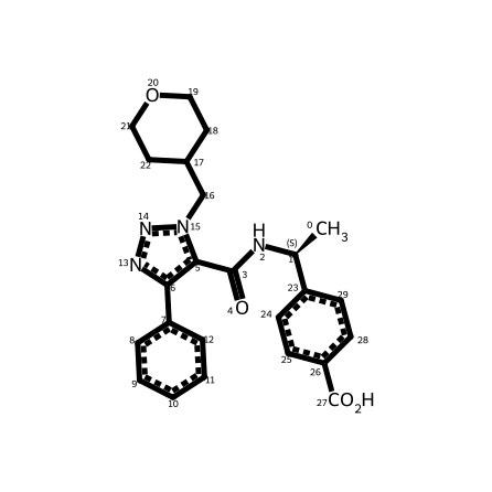 C[C@H](NC(=O)c1c(-c2ccccc2)nnn1CC1CCOCC1)c1ccc(C(=O)O)cc1